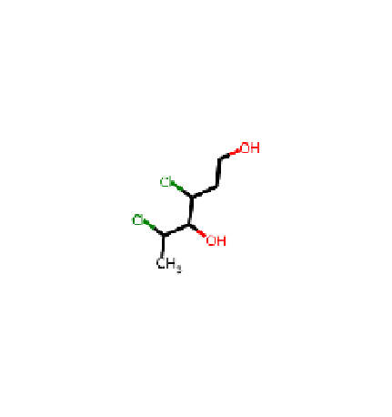 CC(Cl)C(O)C(Cl)CCO